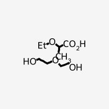 CCOC(C)C(=O)O.OCCOCCO